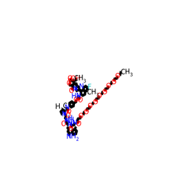 CCCOCCOCCOCCOCCOCCOCCOCCOCCOCCC(=O)N[C@H](Cc1ccccc1)C(=O)N[C@H](CCCCN)C(=O)NCC(=O)N1CCC[C@@H]1C(=O)N(C)c1ccc(COC(=O)N[C@H]2CCc3c(C)c(F)cc4nc5c(c2c34)Cn2c-5cc3c(c2=O)COC(=O)[C@]3(O)CC)cc1